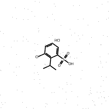 CC(C)c1c(Cl)cccc1S(=O)(=O)O.Cl